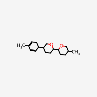 CC1=CCC(C2CCC(C3CCC(C)CO3)OC2)C=C1